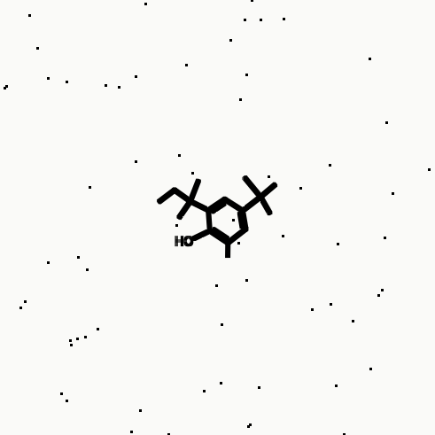 CCC(C)(C)c1cc(C(C)(C)C)cc(C)c1O